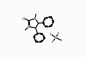 CN1C(Cl)=[N+](C)C(c2ccccc2)C1c1ccccc1.F[B-](F)(F)F